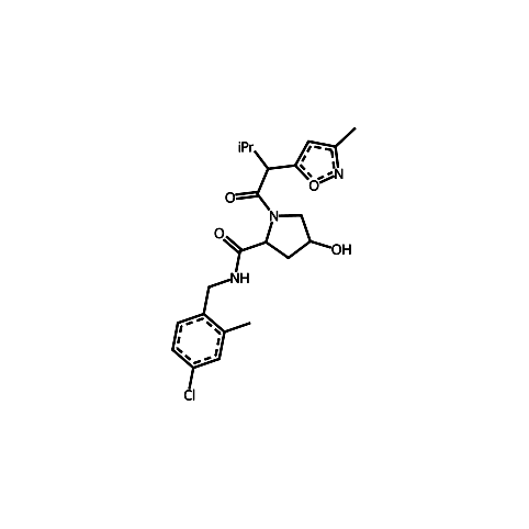 Cc1cc(C(C(=O)N2CC(O)CC2C(=O)NCc2ccc(Cl)cc2C)C(C)C)on1